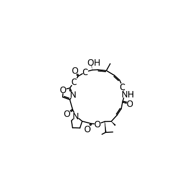 CC1=C/[C@@H](O)CC(=O)Cc2nc(co2)C(=O)N2CCCC2C(=O)O[C@H](C(C)C)[C@H](C)/C=C\C(=O)NC/C=C\1